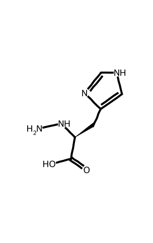 NN[C@@H](Cc1c[nH]cn1)C(=O)O